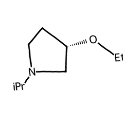 CCO[C@H]1CCN(C(C)C)C1